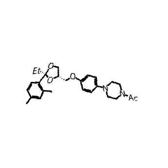 CC[C@]1(c2ccc(C)cc2C)OC[C@H](COc2ccc(N3CCN(C(C)=O)CC3)cc2)O1